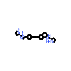 C(#Cc1ccc2c(c1)CCc1nc([C@@H]3CCCN3)[nH]c1-2)c1ccc(-c2cnc([C@@H]3CCCN3)[nH]2)cc1